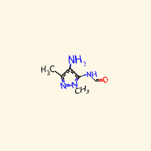 Cc1nn(C)c(NC=O)c1N